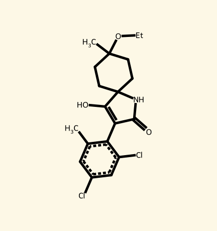 CCOC1(C)CCC2(CC1)NC(=O)C(c1c(C)cc(Cl)cc1Cl)=C2O